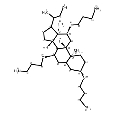 CC(CO)C1CC[C@H]2C3[C@H](OCCCN)CC4C[C@H](OCCCN)CC[C@]4(C)[C@H]3C[C@H](OCCCN)[C@]12C